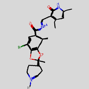 CCN1CCC(C2(C)Oc3c(Br)cc(C(=O)NCc4c(C)cc(C)[nH]c4=O)c(C)c3O2)CC1